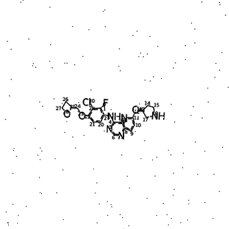 Fc1c(Nc2ncnc3ccc(O[C@H]4CCNC4)nc23)ccc(OCC2CCO2)c1Cl